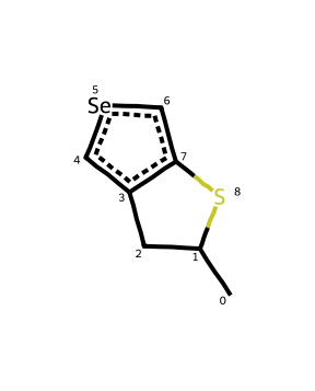 CC1Cc2c[se]cc2S1